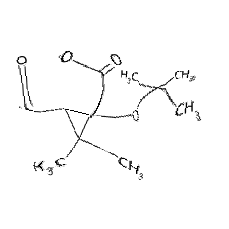 CC(C)(C)OC1(C([O])=O)C([C]=O)C1(C)C